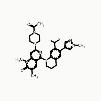 CC(=O)N1CCN(c2cc3c(cc(C)c(=O)n3C)c(N3CCCc4cc(-c5cnn(C)c5)c(C(F)F)cc43)n2)CC1